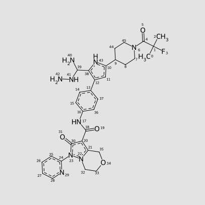 CC(C)(F)C(=O)N1CCC(c2cc(-c3ccc(NC(=O)c4c5n(n(-c6ccccn6)c4=O)CCOC5)cc3)c(C(N)NN)[nH]2)CC1